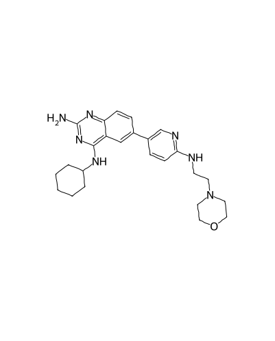 Nc1nc(NC2CCCCC2)c2cc(-c3ccc(NCCN4CCOCC4)nc3)ccc2n1